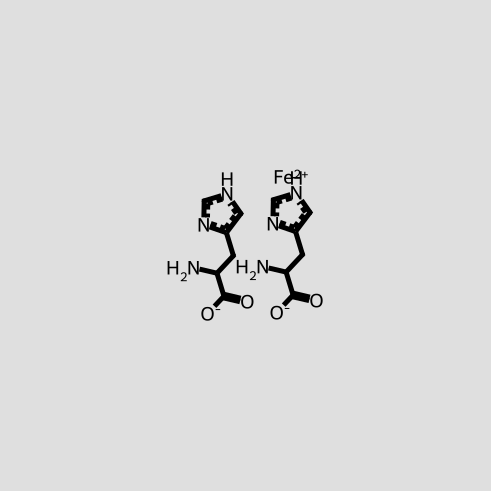 NC(Cc1c[nH]cn1)C(=O)[O-].NC(Cc1c[nH]cn1)C(=O)[O-].[Fe+2]